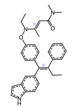 CC/C(=C(/c1ccc(ON(CC)/C(C)=C/C(=O)N(C)C)cc1)c1ccc2[nH]ccc2c1)c1ccccc1